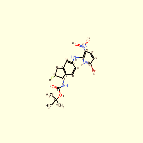 CC(C)(C)OC(=O)N[C@@H]1c2ccc(Nc3nc(Br)ccc3[N+](=O)[O-])cc2CC1F